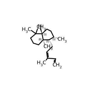 C=CC(C)=CC[C@H]1[C@@H](C)CC[C@H]2C(C)(C)CCC[C@]12C